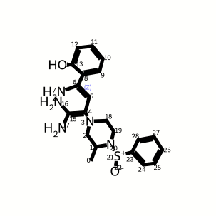 CC1CN(C(/C=C(\N)c2ccccc2O)=C(N)N)CCN1[S+]([O-])c1ccccc1